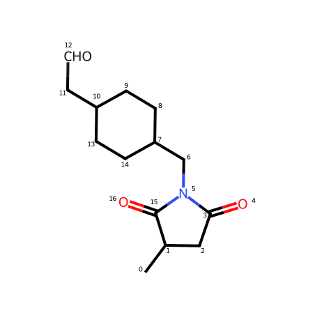 CC1CC(=O)N(CC2CCC(CC=O)CC2)C1=O